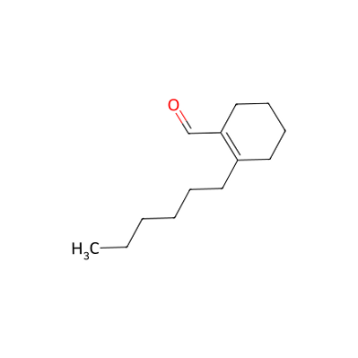 CCCCCCC1=C(C=O)CCCC1